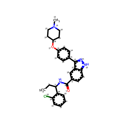 CCC(NC(=O)c1ccc2[nH]nc(-c3ccc(OC4CCN(C)CC4)cc3)c2c1)c1ccccc1Cl